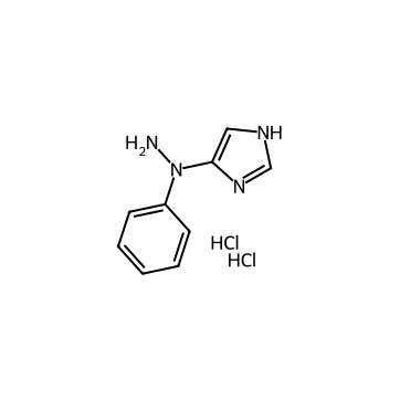 Cl.Cl.NN(c1ccccc1)c1c[nH]cn1